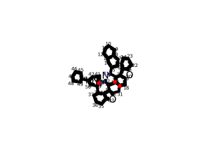 N/N=C(\N=C(\c1ccc2ccccc2c1)c1cccc2oc3ccccc3c12)C1=CCCc2oc3cccc(-c4cccc(-c5ccccc5)c4)c3c21